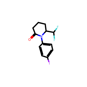 O=C1CCCC(C(F)F)N1c1ccc(I)cc1